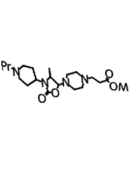 COC(=O)CCN1CCN(C2OC(=O)N(C3CCN(C(C)C)CC3)C2C)CC1